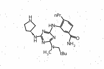 CCCc1ccc(C(N)=O)cc1Nc1nc(N[C@H]2CCNC2)nc(N(C)CC(C)(C)C)n1